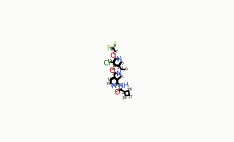 CC(c1cnc(OCC(F)F)c(Cl)c1)N1Cc2c(ccnc2NC(=O)C2CCC2)C1=O